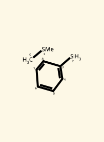 CSC.[SiH3]c1ccccc1